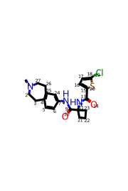 CN1CCc2ccc(NC(=O)C3(NC(=O)c4ccc(Cl)s4)CCC3)cc2CC1